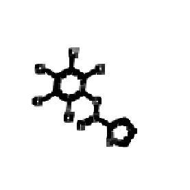 O=S(Oc1c(Cl)c(Cl)c(Cl)c(Cl)c1Cl)c1cccs1